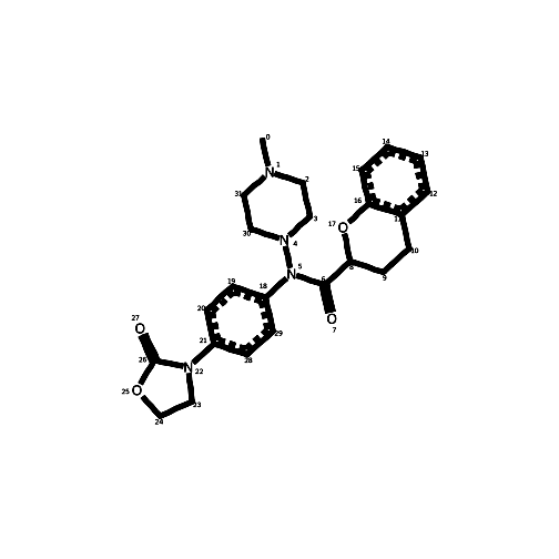 CN1CCN(N(C(=O)C2CCc3ccccc3O2)c2ccc(N3CCOC3=O)cc2)CC1